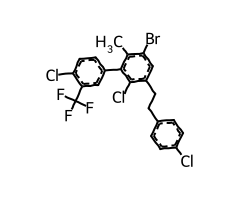 Cc1c(Br)cc(CCc2ccc(Cl)cc2)c(Cl)c1-c1ccc(Cl)c(C(F)(F)F)c1